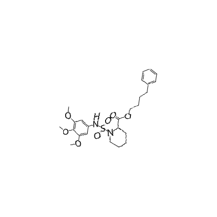 COc1cc(NS(=O)(=O)N2CCCCC2C(=O)OCCCCc2ccccc2)cc(OC)c1OC